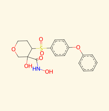 O=C(NO)C1(O)COCCC1S(=O)(=O)c1ccc(Oc2ccccc2)cc1